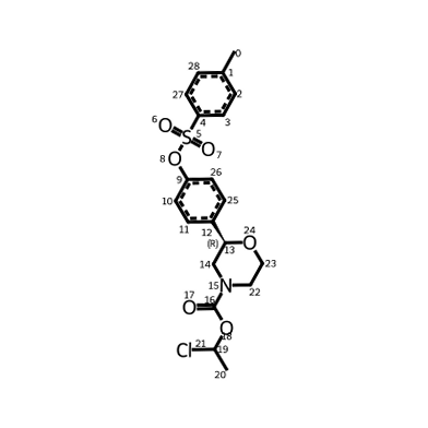 Cc1ccc(S(=O)(=O)Oc2ccc([C@@H]3CN(C(=O)OC(C)Cl)CCO3)cc2)cc1